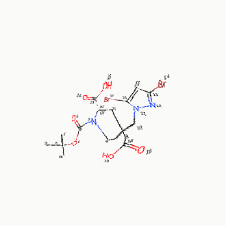 CC(C)(C)OC(=O)N1CC(Cn2nc(Br)cc2Br)(C(=O)O)C[C@H]1C(=O)O